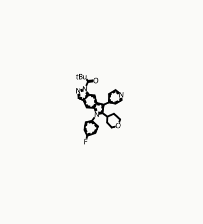 CC(C)(C)C(=O)n1ncc2cc3c(cc21)c(-c1ccncc1)c(C1CCOCC1)n3-c1ccc(F)cc1